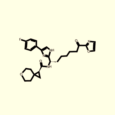 O=C(CCCCC[C@H](NC(=O)[C@H]1CC12CCOCC2)c1nc(-c2ccc(F)cc2)c[nH]1)c1ncco1